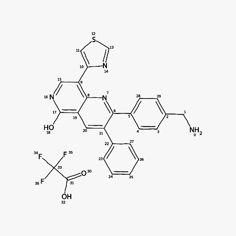 NCc1ccc(-c2nc3c(-c4cscn4)cnc(O)c3cc2-c2ccccc2)cc1.O=C(O)C(F)(F)F